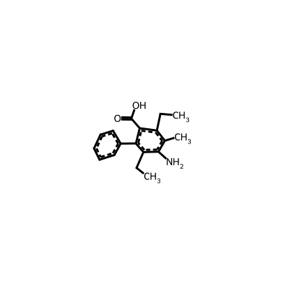 CCc1c(C)c(N)c(CC)c(-c2ccccc2)c1C(=O)O